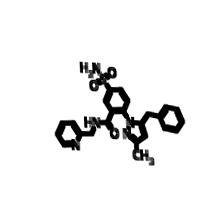 Cc1cc(Cc2ccccc2)n(-c2ccc(S(N)(=O)=O)cc2C(=O)NCc2ccccn2)n1